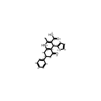 CC1=C(C(=O)O)C(c2cccs2)C2=C(CC(c3ccccc3)CC2=O)N1